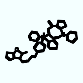 C=C1/C=C([SH](C)(c2ccccc2)(c2ccccc2)c2ccc(C=C/C=C\C3C4=C(CC=C4)OC3C)cc2)\C=C/N(c2ccccc2)C2=C1C=CC2